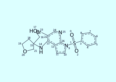 O=S(=O)(c1ccccc1)n1ccc2c(NC3(CO)CCOC3)c(Br)cnc21